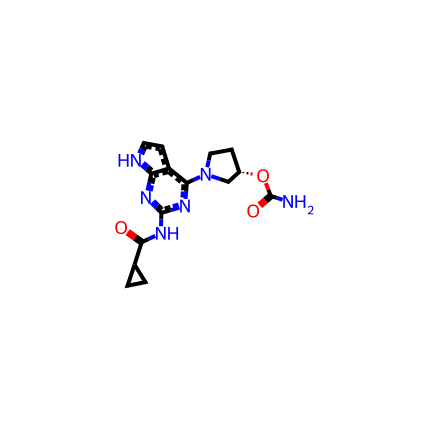 NC(=O)O[C@H]1CCN(c2nc(NC(=O)C3CC3)nc3[nH]ccc23)C1